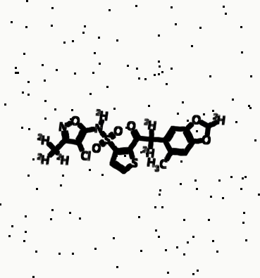 [2H]C1Oc2cc(C)c(C([2H])([2H])C(=O)c3sccc3S(=O)(=O)N([2H])c3onc(C([2H])([2H])[2H])c3Cl)cc2O1